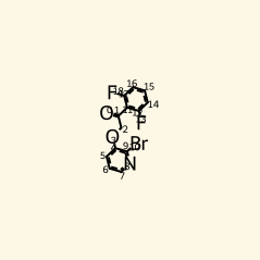 O=C(COc1cccnc1Br)c1c(F)cccc1F